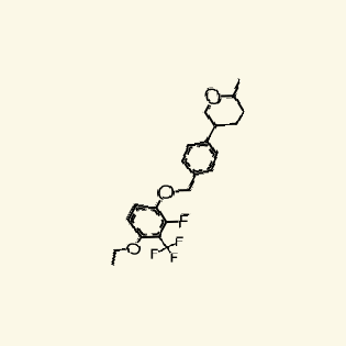 CCOc1ccc(OCc2ccc(C3CCC(C)OC3)cc2)c(F)c1C(F)(F)F